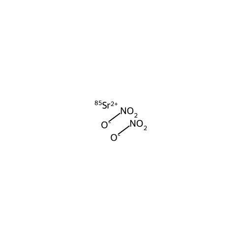 O=[N+]([O-])[O-].O=[N+]([O-])[O-].[85Sr+2]